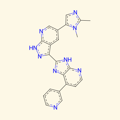 Cc1ncc(-c2cnc3[nH]nc(-c4nc5c(-c6cccnc6)ccnc5[nH]4)c3c2)n1C